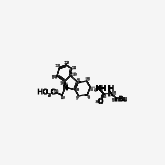 CCCCNC(=O)N[C@@H]1CCc2c(c3ccccc3n2CC(=O)O)C1